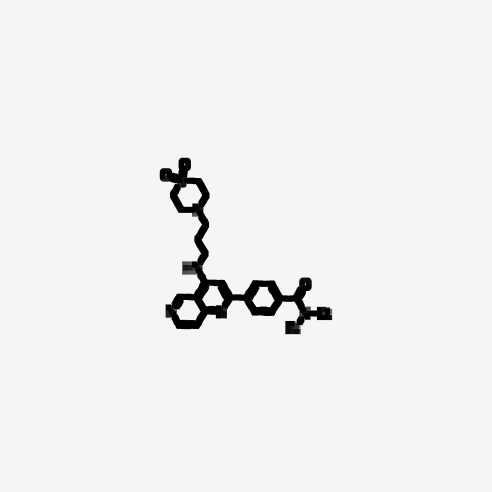 CCN(CC)C(=O)c1ccc(-c2cc(NCCCN3CCS(=O)(=O)CC3)c3cnccc3n2)cc1